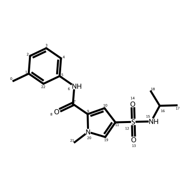 Cc1cccc(NC(=O)c2cc(S(=O)(=O)NC(C)C)cn2C)c1